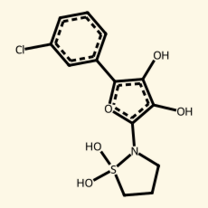 Oc1c(-c2cccc(Cl)c2)oc(N2CCCS2(O)O)c1O